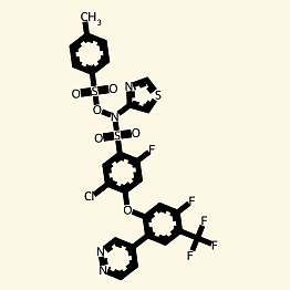 Cc1ccc(S(=O)(=O)ON(c2cscn2)S(=O)(=O)c2cc(Cl)c(Oc3cc(F)c(C(F)(F)F)cc3-c3ccnnc3)cc2F)cc1